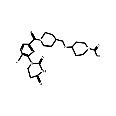 O=C1CCN(c2cc(C(=O)N3CCC(COC4CCN(C(=O)O)CC4)CC3)ccc2Cl)C(=O)N1